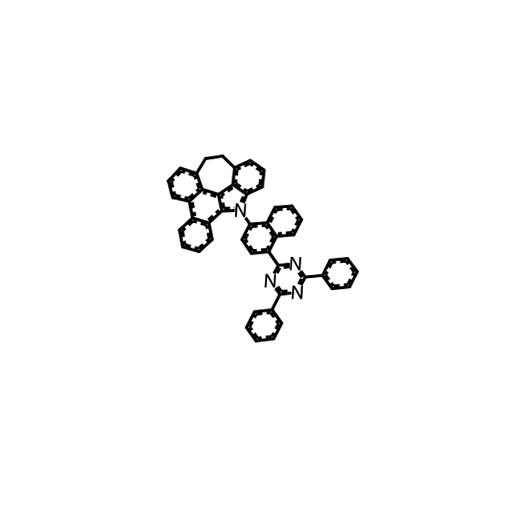 c1ccc(-c2nc(-c3ccccc3)nc(-c3ccc(-n4c5cccc6c5c5c7c(cccc7c7ccccc7c54)CC6)c4ccccc34)n2)cc1